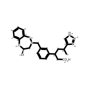 CC[C@@H]1CN(Cc2cccc(C(CC(=O)O)CC(C)c3c[nH]nn3)c2)Sc2ccccc2O1